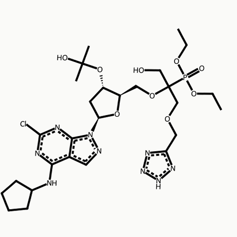 CCOP(=O)(OCC)C(CO)(COCc1nn[nH]n1)OC[C@H]1O[C@@H](n2ncc3c(NC4CCCC4)nc(Cl)nc32)C[C@@H]1OC(C)(C)O